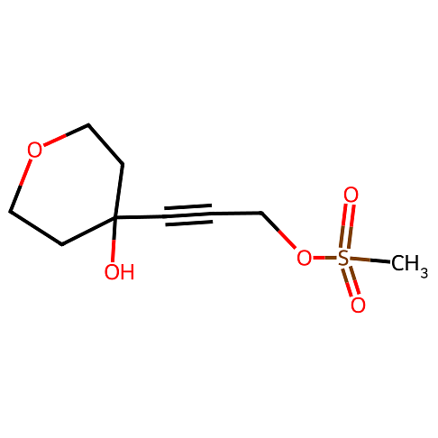 CS(=O)(=O)OCC#CC1(O)CCOCC1